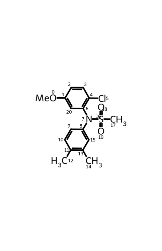 COc1ccc(Cl)c(N(c2ccc(C)c(C)c2)S(C)(=O)=O)c1